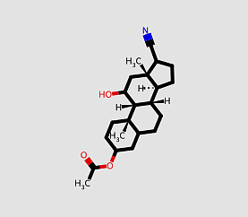 CC(=O)OC1CC[C@@]2(C)C(CC[C@@H]3[C@H]2C(O)C[C@]2(C)C(C#N)CC[C@@H]32)C1